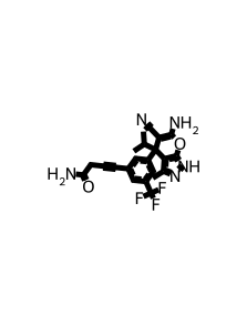 Cc1n[nH]c2c1C(c1cc(C#CCC(N)=O)cc(C(F)(F)F)c1)(C(C)C)C(C#N)=C(N)O2